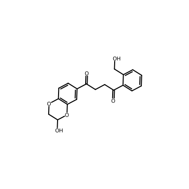 O=C(CCC(=O)c1ccccc1CO)c1ccc2c(c1)OC(O)CO2